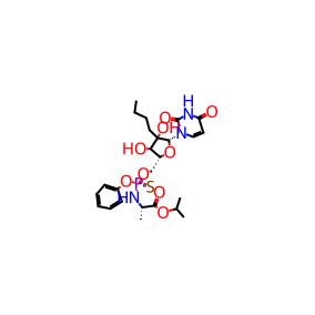 CCCC[C@@]1(O)[C@H](O)[C@@H](COP(=S)(N[C@@H](C)C(=O)OC(C)C)Oc2ccccc2)O[C@H]1n1ccc(=O)[nH]c1=O